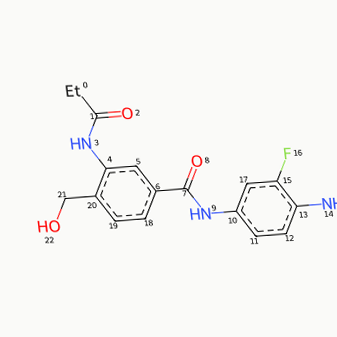 CCC(=O)Nc1cc(C(=O)Nc2ccc(N)c(F)c2)ccc1CO